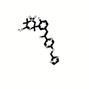 CC1(c2cc(C=C(F)c3cnc(OCc4ncco4)cn3)ccc2F)CS(=O)(=O)C(C)(C)C(N)=N1